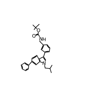 CC(C)Cn1cc(-c2cccc(CNC(=O)OC(C)(C)C)c2)c2ccc(-c3ccccc3)cc21